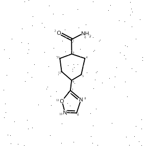 NC(=O)C1CCC(c2n[c]no2)CC1